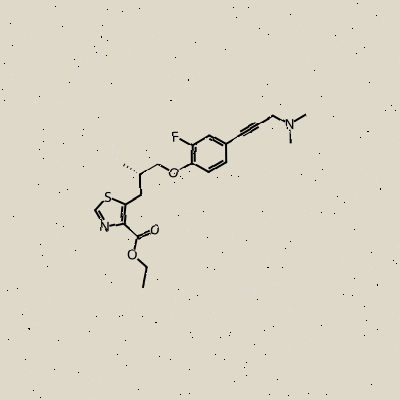 CCOC(=O)c1ncsc1C[C@H](C)COc1ccc(C#CCN(C)C)cc1F